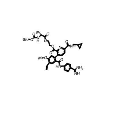 C=Cc1cc(C(=O)Nc2ccc(C(=N)N)cc2)c(-c2ccc(C(=O)NCC3CC3)nc2C(=O)OCCOC(=O)[C@@H](NC(=O)OC(C)(C)C)C(C)C)cc1OC